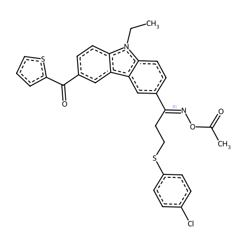 CCn1c2ccc(C(=O)c3cccs3)cc2c2cc(/C(CCSc3ccc(Cl)cc3)=N/OC(C)=O)ccc21